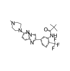 CN1CCN(c2ccc3nc(-c4ccc(C(F)(F)F)c(NC(=O)C(C)(C)C)c4)cn3n2)CC1